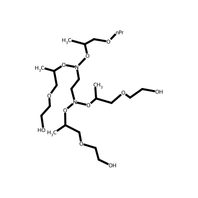 CCCOCC(C)ON(CCN(OC(C)COCCO)OC(C)COCCO)OC(C)COCCO